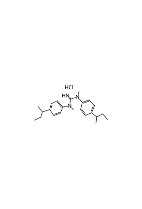 CCC(C)c1ccc(N(C)C(=N)N(C)c2ccc(C(C)CC)cc2)cc1.Cl